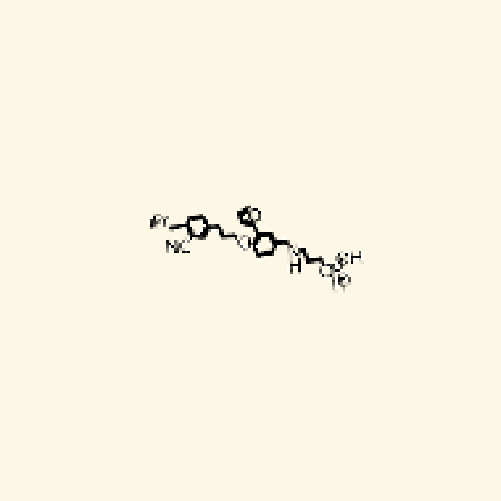 CC(C)Cc1ccc(CCCOc2ccc(CNCCCO[PH](=O)O)cc2-c2ccco2)cc1C#N